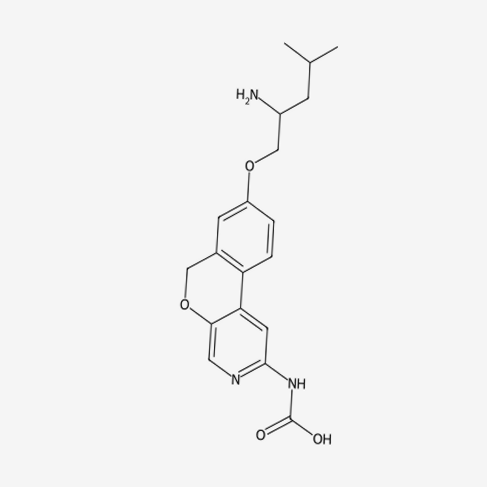 CC(C)CC(N)COc1ccc2c(c1)COc1cnc(NC(=O)O)cc1-2